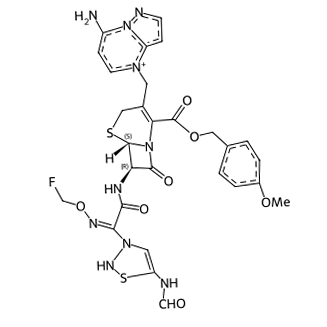 COc1ccc(COC(=O)C2=C(C[n+]3ccc(N)n4nccc43)CS[C@H]3[C@H](NC(=O)C(=NOCF)N4C=C(NC=O)SN4)C(=O)N23)cc1